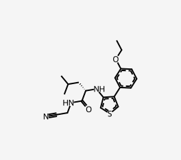 CCOc1cccc(-c2cscc2N[C@@H](CC(C)C)C(=O)NCC#N)c1